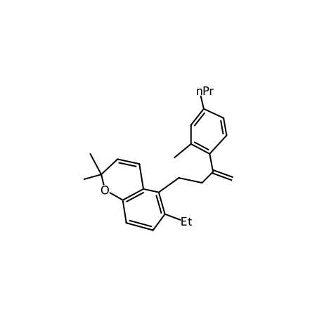 C=C(CCc1c(CC)ccc2c1C=CC(C)(C)O2)c1ccc(CCC)cc1C